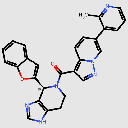 Cc1ncccc1-c1ccc2c(C(=O)N3CCc4[nH]cnc4[C@H]3c3cc4ccccc4o3)cnn2c1